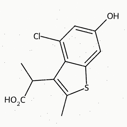 Cc1sc2cc(O)cc(Cl)c2c1C(C)C(=O)O